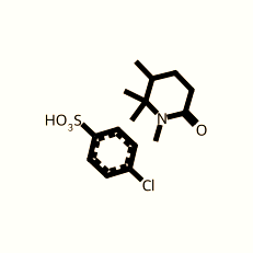 CC1CCC(=O)N(C)C1(C)C.O=S(=O)(O)c1ccc(Cl)cc1